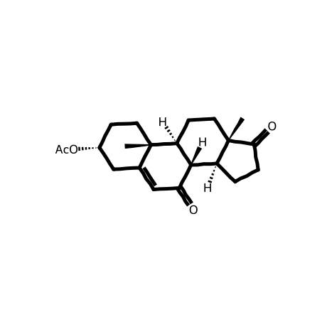 CC(=O)O[C@@H]1CC[C@@]2(C)C(=CC(=O)[C@@H]3[C@@H]2CC[C@]2(C)C(=O)CC[C@@H]32)C1